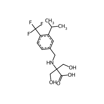 CC(C)c1cc(CNC(CO)(CO)C(=O)O)ccc1C(F)(F)F